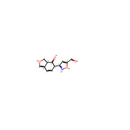 O=Cc1cc(C2C=CC3=COCC3C2=O)no1